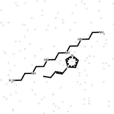 CCC=Cn1ccnc1.NCCNCCNCCNCCNCCN